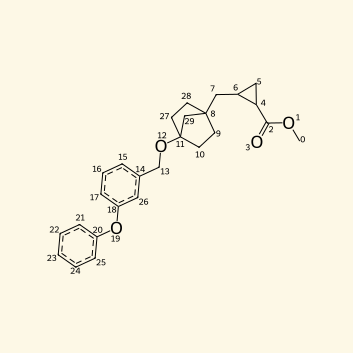 COC(=O)C1CC1CC12CCC(OCc3cccc(Oc4ccccc4)c3)(CC1)C2